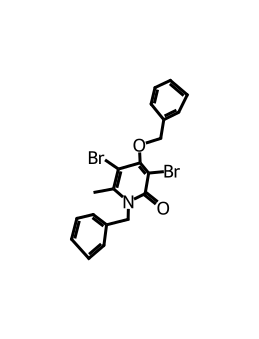 Cc1c(Br)c(OCc2ccccc2)c(Br)c(=O)n1Cc1ccccc1